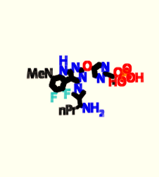 CCC[C@H](N)C1CN(c2nc(Oc3cnc([C@@H](C)OP(=O)(O)O)nc3)nc3[nH]c4c(NC)cc(F)c(F)c4c23)C1